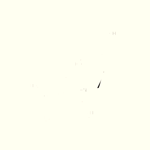 C=CC1=C(C)[C@H](CN/C(C)=C(/C=C)C(=O)OC)CC1